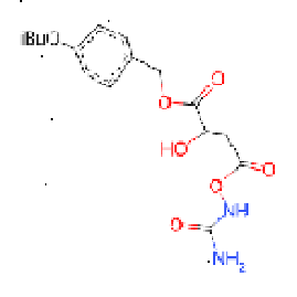 CC(C)COc1ccc(COC(=O)C(O)CC(=O)ONC(N)=O)cc1